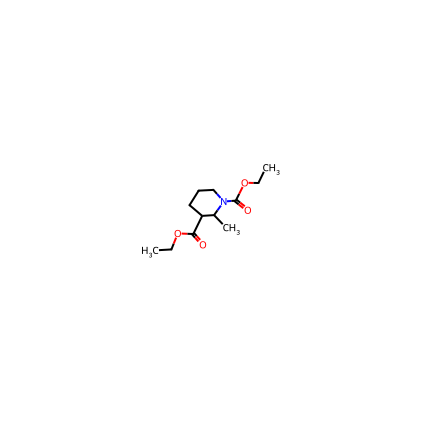 CCOC(=O)C1CCCN(C(=O)OCC)C1C